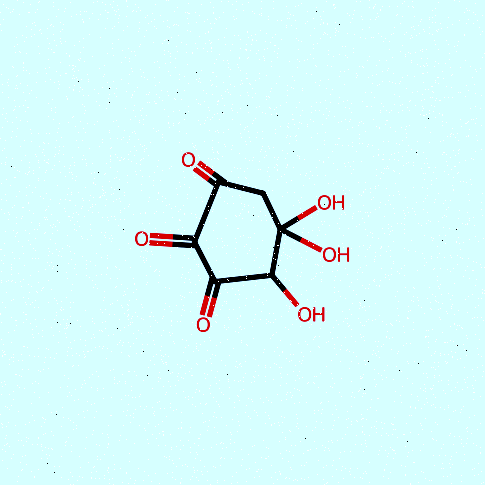 O=C1CC(O)(O)C(O)C(=O)C1=O